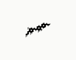 CCCc1ccc(-c2ccc(CCc3cc(F)c(CCCF)c(F)c3)c(F)c2F)cc1